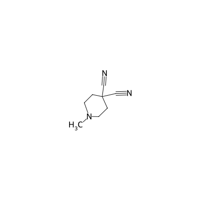 CN1CCC(C#N)(C#N)CC1